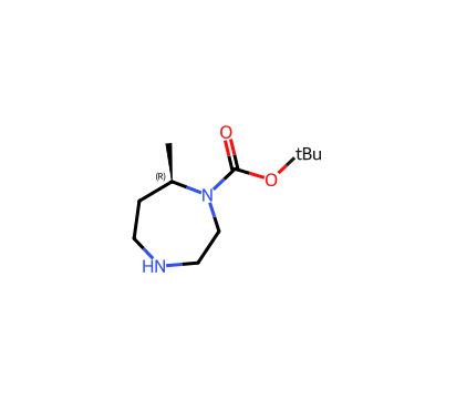 C[C@@H]1CCNCCN1C(=O)OC(C)(C)C